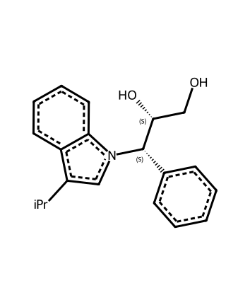 CC(C)c1cn([C@@H](c2ccccc2)[C@H](O)CO)c2ccccc12